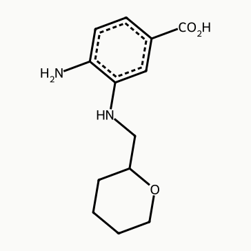 Nc1ccc(C(=O)O)cc1NCC1CCCCO1